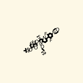 CSc1c(O[C@@H]2COC3[C@H](O[Si](C)(C)C(C)(C)C)CO[C@@H]32)n(COCC[Si](C)(C)C)c2ccc(-c3c(F)cc(N4CCOCC4)cc3F)nc12